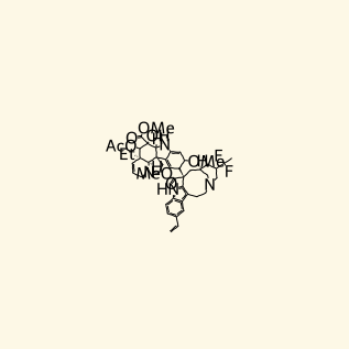 C=Cc1ccc2[nH]c3c(c2c1)CCN1CC(C(C)(F)F)C[C@@H](C1)C[C@]3(C(=O)OC)C1C=C2C(=CC1OC)N(C)[C@H]1[C@@](O)(C(=O)OC)[C@H](OC(C)=O)[C@]3(CC)C=CCN4CC[C@]21[C@@H]43